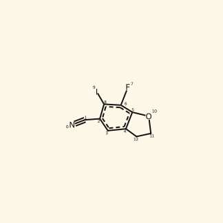 N#Cc1cc2c(c(F)c1I)OCC2